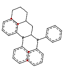 c1ccc(P(c2ccccc2)C(CC2CCCCC2)P(c2ccccc2)c2ccccc2)cc1